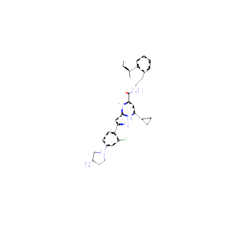 C/C=C(/C)c1ccccc1CCNC(=O)c1cc(C2CC2)n2nc(-c3ccc(N4CC[C@H](N)C4)cc3F)cc2n1